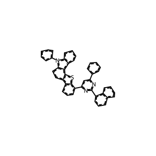 c1ccc(-c2cc(-c3cccc4c3sc3c4ccc4c3c3ccccc3n4-c3ccccc3)nc(-c3cccc4ccccc34)n2)cc1